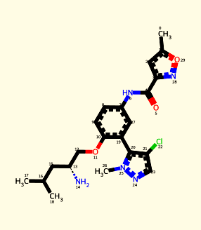 Cc1cc(C(=O)Nc2ccc(OC[C@H](N)CC(C)C)c(-c3c(Cl)cnn3C)c2)no1